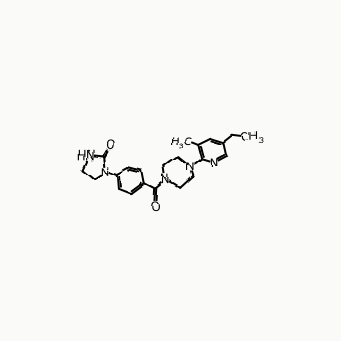 CCc1cnc(N2CCN(C(=O)c3ccc(N4CCNC4=O)cc3)CC2)c(C)c1